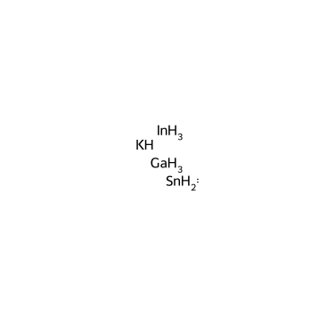 [GaH3].[InH3].[KH].[SnH2]